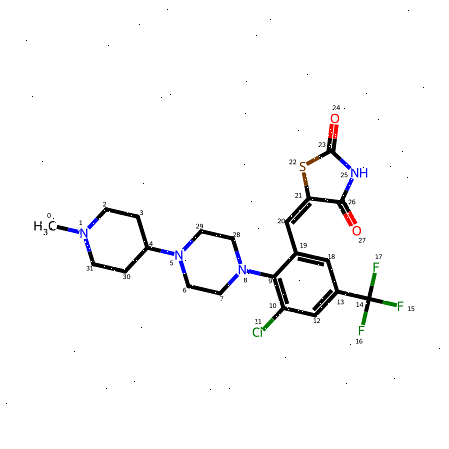 CN1CCC(N2CCN(c3c(Cl)cc(C(F)(F)F)cc3/C=C3/SC(=O)NC3=O)CC2)CC1